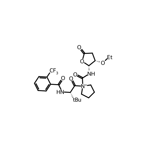 CCO[C@H]1CC(=O)O[C@H]1NC(=O)[N+]1(C(=O)[C@@H](NC(=O)c2ccccc2C(F)(F)F)C(C)(C)C)CCCC1